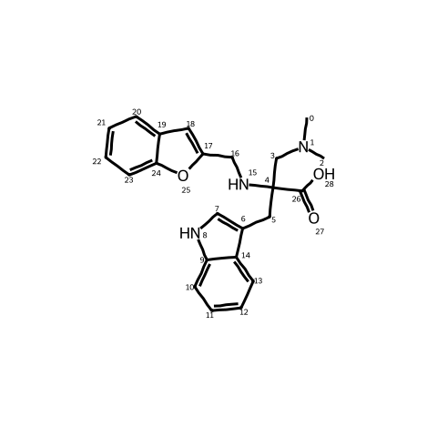 CN(C)CC(Cc1c[nH]c2ccccc12)(NCc1cc2ccccc2o1)C(=O)O